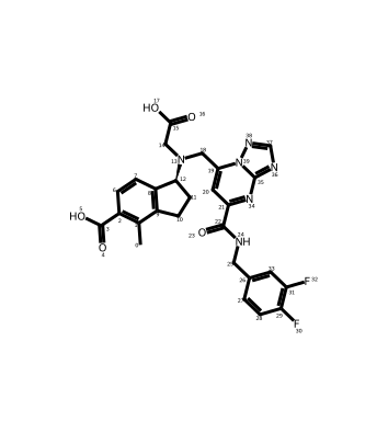 Cc1c(C(=O)O)ccc2c1CC[C@@H]2N(CC(=O)O)Cc1cc(C(=O)NCc2ccc(F)c(F)c2)nc2ncnn12